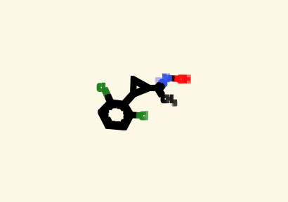 C/C(=N\O)C1CC1c1c(Cl)cccc1Cl